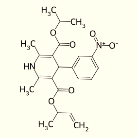 C=CC(C)OC(=O)C1=C(C)NC(C)=C(C(=O)OC(C)C)C1c1cccc([N+](=O)[O-])c1